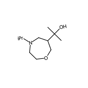 CC(C)N1CCOCC(C(C)(C)O)C1